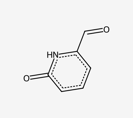 O=Cc1cccc(=O)[nH]1